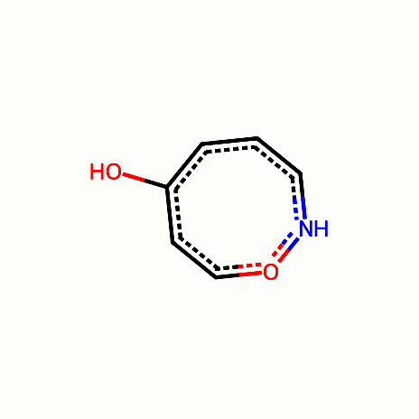 Oc1ccc[nH]occ1